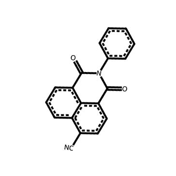 N#Cc1ccc2c3c(cccc13)C(=O)N(c1ccccc1)C2=O